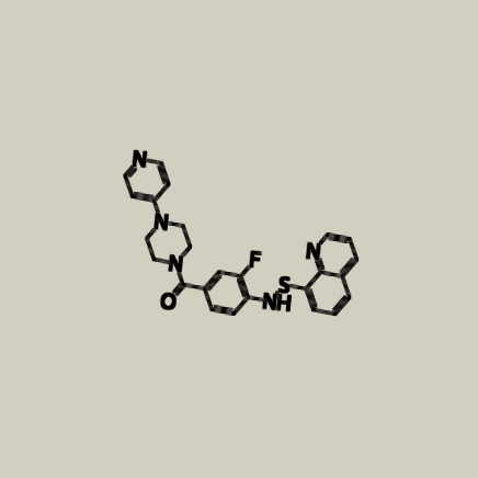 O=C(c1ccc(NSc2cccc3cccnc23)c(F)c1)N1CCN(c2ccncc2)CC1